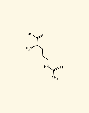 CC(C)C(=O)[C@H](N)CCCNC(=N)N